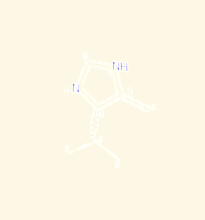 C=c1[nH]cnc1=C(C)C